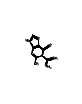 N=C(N)n1c(N)nc2[nH]cnc2c1=O